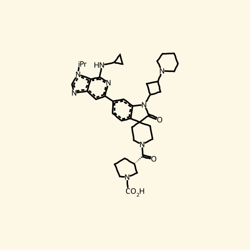 CC(C)n1cnc2cc(-c3ccc4c(c3)N(C3CC(N5CCCCC5)C3)C(=O)C43CCN(C(=O)[C@H]4CCCN(C(=O)O)C4)CC3)nc(NC3CC3)c21